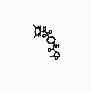 Cc1cc(C)nc(NS(=O)(=O)c2ccc(NC(=O)c3ccoc3C)cc2)n1